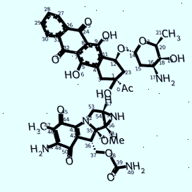 CC(=O)[C@]1(O)Cc2c(O)c3c(c(O)c2[C@@H](O[C@H]2C[C@H](N)[C@H](O)[C@H](C)O2)C1)C(=O)c1ccccc1C3=O.CO[C@@]12[C@H](COC(N)=O)C3=C(C(=O)C(C)=C(N)C3=O)N1C[C@@H]1N[C@@H]12